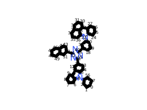 c1ccc(-n2c3ccccc3c3cc(-c4nc(-c5cccc(N6c7ccccc7-c7cccc8cccc6c78)c5)nc(-c5ccc6ccccc6c5)n4)ccc32)cc1